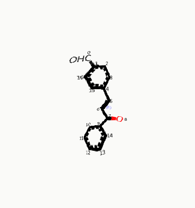 O=Cc1ccc(/C=C/C(=O)c2ccccc2)cc1